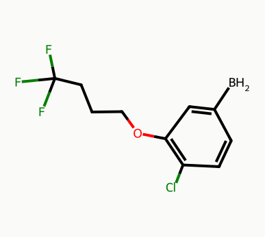 Bc1ccc(Cl)c(OCCCC(F)(F)F)c1